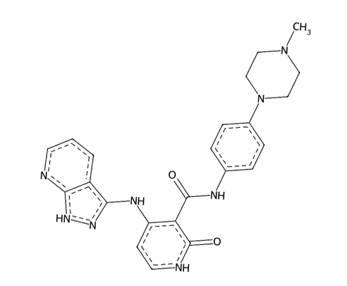 CN1CCN(c2ccc(NC(=O)c3c(Nc4n[nH]c5ncccc45)cc[nH]c3=O)cc2)CC1